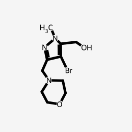 Cn1nc(CN2CCOCC2)c(Br)c1CO